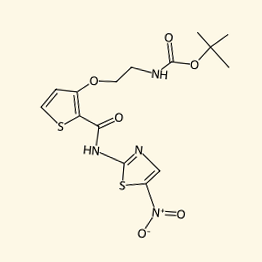 CC(C)(C)OC(=O)NCCOc1ccsc1C(=O)Nc1ncc([N+](=O)[O-])s1